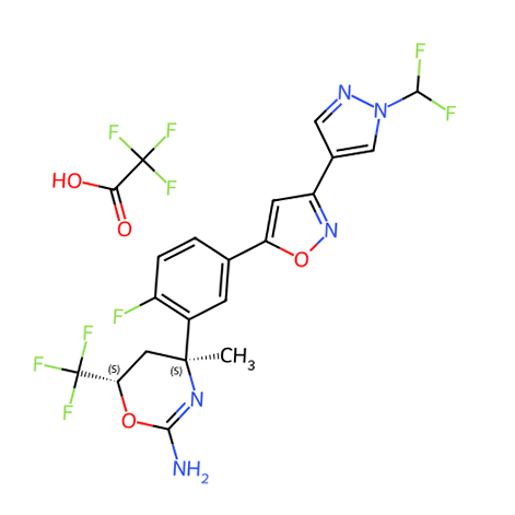 C[C@@]1(c2cc(-c3cc(-c4cnn(C(F)F)c4)no3)ccc2F)C[C@@H](C(F)(F)F)OC(N)=N1.O=C(O)C(F)(F)F